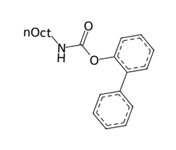 CCCCCCCCNC(=O)Oc1ccccc1-c1ccccc1